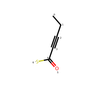 CCC#CC(=O)[S]